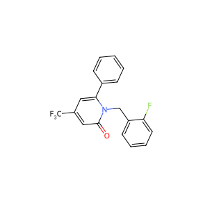 O=c1cc(C(F)(F)F)cc(-c2ccccc2)n1Cc1ccccc1F